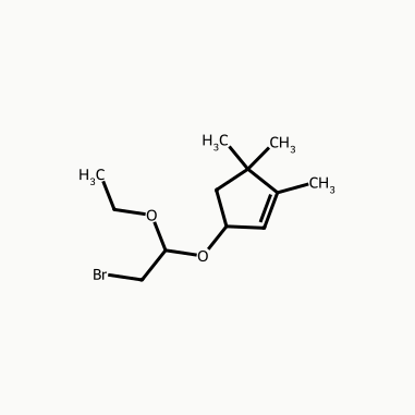 CCOC(CBr)OC1C=C(C)C(C)(C)C1